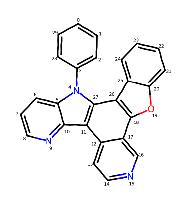 c1ccc(-n2c3cccnc3c3c4ccncc4c4oc5ccccc5c4c32)cc1